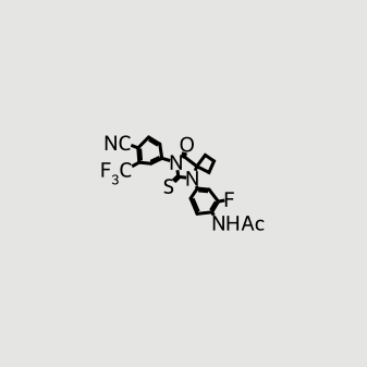 CC(=O)Nc1ccc(N2C(=S)N(c3ccc(C#N)c(C(F)(F)F)c3)C(=O)C23CCC3)cc1F